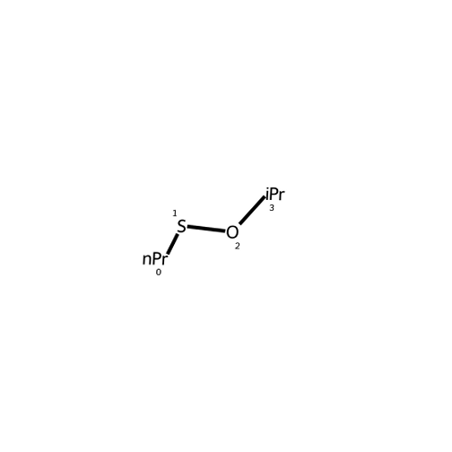 CCCSOC(C)C